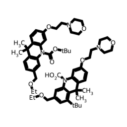 CCOCc1cc2c(c(C(C)(C)C)c1)C(C)(C)c1ccc(OCCN3CCOCC3)cc1N2C(=O)O.CCOCc1ccc2c(c1)N(C(=O)OC(C)(C)C)c1cc(OCCN3CCOCC3)ccc1C2(C)C